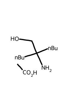 CC(=O)O.CCCCC(N)(CO)CCCC